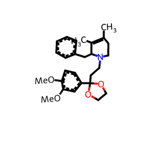 COc1ccc(C2(CCN3CCC(C)=C(C)C3Cc3ccccc3)OCCO2)cc1OC